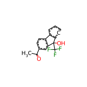 CC(=O)c1ccc2c(c1)C(O)(C(F)(F)F)c1ccccc1-2